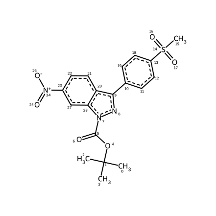 CC(C)(C)OC(=O)n1nc(-c2ccc(S(C)(=O)=O)cc2)c2ccc([N+](=O)[O-])cc21